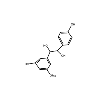 COc1cc(O)cc(C(O)C(O)c2ccc(O)cc2)c1